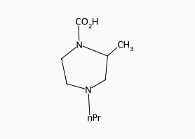 CCCN1CCN(C(=O)O)C(C)C1